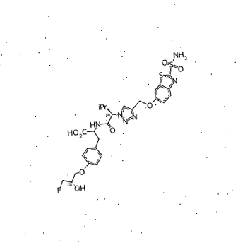 CC(C)[C@H](C(=O)NC(Cc1ccc(OC[C@H](O)CF)cc1)C(=O)O)n1cc(COc2ccc3nc(S(N)(=O)=O)sc3c2)nn1